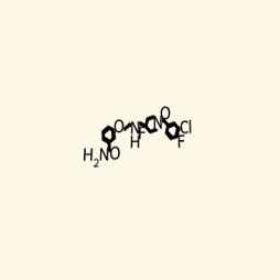 NC(=O)c1cccc(OCCNCC2(F)CCN(C(=O)c3ccc(F)c(Cl)c3)CC2)c1